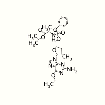 CCOc1nc(N)nc2c1ncn2C1O[C@H](CO[P@](=O)(N[C@H](C)C(=O)OC(C)C)Oc2ccccc2)C[C@@H]1C